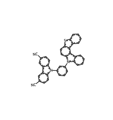 N#Cc1ccc2c(c1)c1cc(C#N)ccc1n2-c1cccc(-n2c3ccccc3c3c4c(ccc32)sc2ccccc24)c1